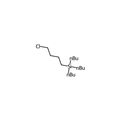 CCCC[Si](CCCC)(CCCC)CCCCCl